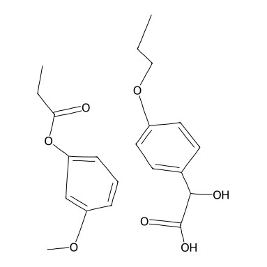 CCC(=O)Oc1cccc(OC)c1.CCCOc1ccc(C(O)C(=O)O)cc1